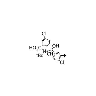 CC(C)(C)N(C(=O)O)C(C)(c1ccc(Cl)cc1)C(O)c1ccc(Cl)c(F)c1